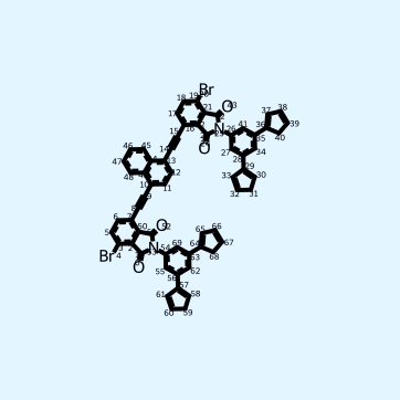 O=C1c2c(Br)ccc(C#Cc3ccc(C#Cc4ccc(Br)c5c4C(=O)N(c4cc(C6=CCC=C6)cc(C6=CC=CC6)c4)C5=O)c4ccccc34)c2C(=O)N1c1cc(C2=CCC=C2)cc(C2=CC=CC2)c1